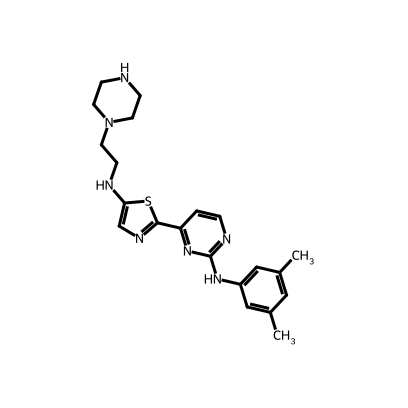 Cc1cc(C)cc(Nc2nccc(-c3ncc(NCCN4CCNCC4)s3)n2)c1